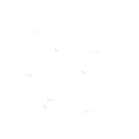 Cc1ccc(O)c(CN(CCN(CC(=O)[O-])Cc2cc(C)ccc2O)CC(=O)[O-])c1.[Na+].[Na+]